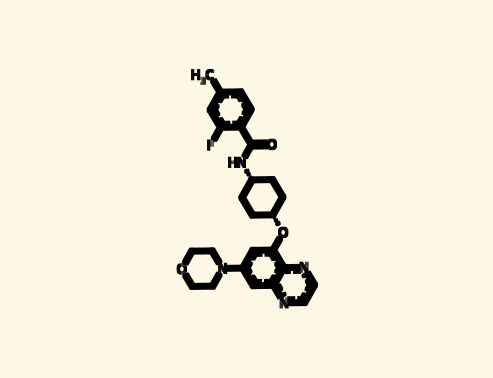 Cc1ccc(C(=O)N[C@H]2CC[C@@H](Oc3cc(N4CCOCC4)cc4nccnc34)CC2)c(F)c1